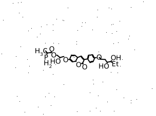 CCC(O)C(O)CCOc1ccc(C2=CC3C=CC(OCC(O)COC(=O)C(C)P)=CC3OC2=O)cc1